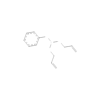 C=CCOP(OCC=C)Oc1ccccc1